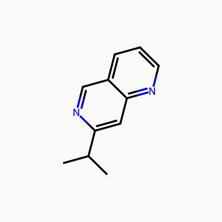 CC(C)c1cc2ncccc2cn1